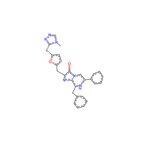 Cn1cnnc1Sc1ccc(Cc2nc3c(Cc4ccccc4)[nH]c(-c4ccccc4)cn-3c2=O)o1